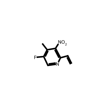 C=Cc1ncc(F)c(C)c1[N+](=O)[O-]